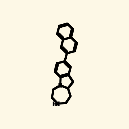 c1ccc2cc(-c3ccc4c(c3)CC3CCNCCN43)ccc2c1